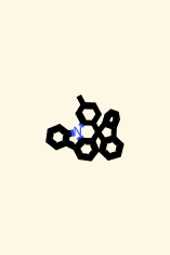 CC1=CCC2C(=C1)n1c3ccccc3c3cccc(c31)C21c2ccccc2-c2ccccc21